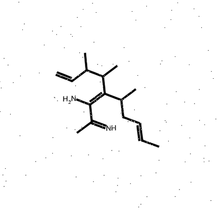 C=CC(C)C(C)/C(=C(\N)C(C)=N)C(C)C/C=C/C